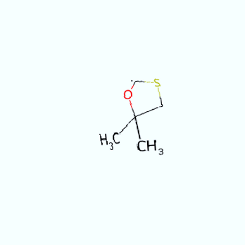 CC1(C)CS[CH]O1